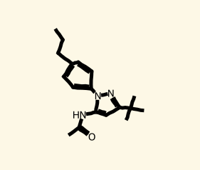 CCCc1ccc(-n2nc(C(C)(C)C)cc2NC(C)=O)cc1